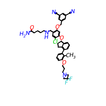 Cc1c(OCCCN2CC(F)(F)C2)cccc1-c1cccc2c1CC[C@@H]2Oc1cc(OCc2cc(C#N)cc(C#N)c2)c(CNCCCCC(N)=O)cc1Cl